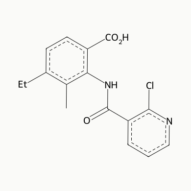 CCc1ccc(C(=O)O)c(NC(=O)c2cccnc2Cl)c1C